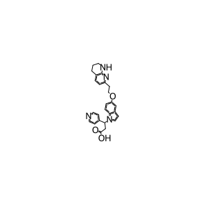 O=C(O)CC(c1ccncc1)n1ccc2cc(OCCc3ccc4c(n3)NCCC4)ccc21